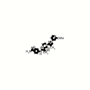 COc1cc(-n2cc(C)c(N3CCOC(C(C)(O)C(=O)Nc4ccc5c(N)noc5c4)C3=O)n2)ccn1